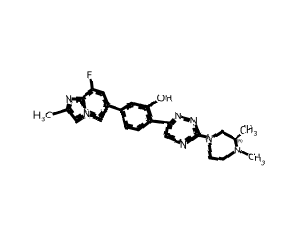 Cc1cn2cc(-c3ccc(-c4cnc(N5CCN(C)[C@H](C)C5)nn4)c(O)c3)cc(F)c2n1